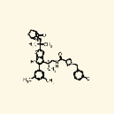 Cc1cc(C)cc(-c2[nH]c3sc(C(C)(C)CC4C5CCC4C(=O)N5)cc3c2[C@H](C)CNC(=O)C2CN(Cc3cccc(Cl)c3)C2)c1